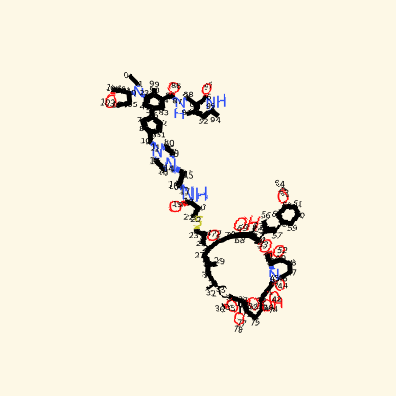 CCN(c1cc(-c2ccc(CN3CCN(CCNC(=O)CCSCCC[C@@H]4/C=C(\C)C[C@H](C)C[C@H](OC)[C@H]5O[C@@](O)(C(=O)C(=O)N6CCCCC6C(=O)O[C@H](/C(C)=C/[C@@H]6CCC[C@H](OC)C6)[C@H](C)[C@@H](O)CC4=O)[C@H](C)C[C@@H]5OC)CC3)cc2)cc(C(=O)NCc2c(C)cc(C)[nH]c2=O)c1C)C1CCOCC1